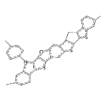 Cc1ccc(-n2c3cc(C)ccc3c3sc4c5cc6sc7c(c6cc5oc4c32)Cc2c-7sc3cc(C)ccc23)cc1